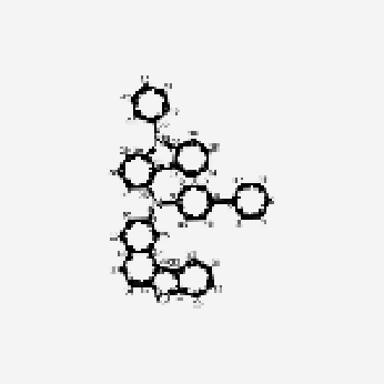 c1ccc(-c2ccc(N(c3ccc4ccc5oc6ccccc6c5c4c3)c3cccc4c3c3ccccc3n4-c3ccccc3)cc2)cc1